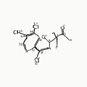 CC(=O)C(C)(C)C(Cl)/C=C(/Cl)c1ccc(Cl)c(Cl)c1